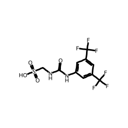 O=C(NCS(=O)(=O)O)Nc1cc(C(F)(F)F)cc(C(F)(F)F)c1